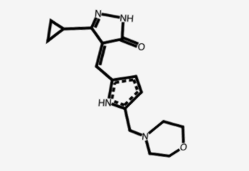 O=C1NN=C(C2CC2)C1=Cc1ccc(CN2CCOCC2)[nH]1